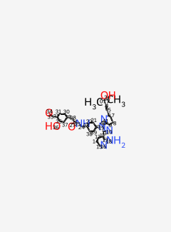 CC(C)(O)C#Cc1ccc2nc(-c3cccnc3N)n(-c3ccc(CNC(=O)Cc4ccc(C=O)c(O)c4)cc3)c2n1